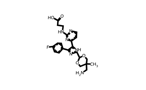 CC1(CN)COC(c2nc(-c3ccc(F)cc3)c(-c3ccnc(NCCC(=O)O)n3)[nH]2)OC1